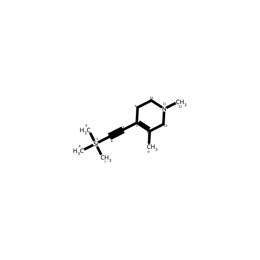 CC1=C(C#C[Si](C)(C)C)CCN(C)C1